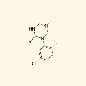 Cc1ccc(Cl)cc1N1CN(C)CNC1=S